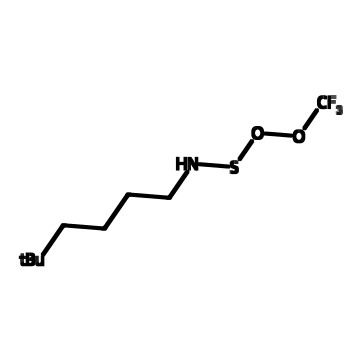 CC(C)(C)CCCCNSOOC(F)(F)F